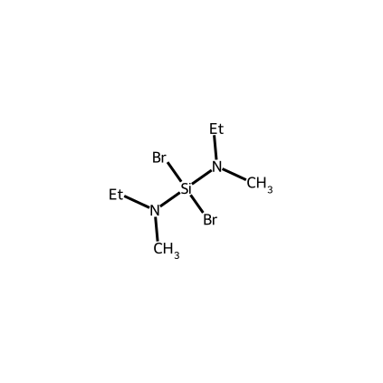 CCN(C)[Si](Br)(Br)N(C)CC